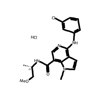 COC[C@H](C)NC(=O)c1cnc(Nc2cccc(Cl)c2)c2ccn(C)c12.Cl